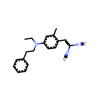 [C-]#[N+]C(=Cc1ccc(N(CC)CCc2ccccc2)cc1C)[N+]#[C-]